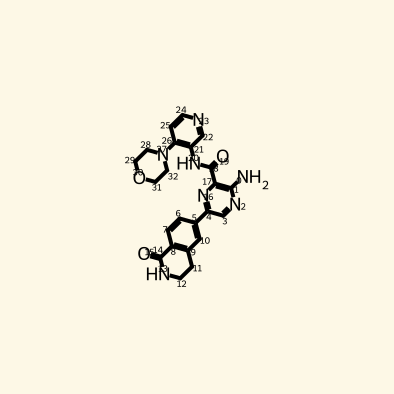 Nc1ncc(-c2ccc3c(c2)CCNC3=O)nc1C(=O)Nc1cnccc1N1CCOCC1